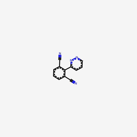 N#Cc1cccc(C#N)c1-c1cc[c]nn1